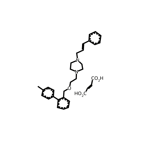 Cc1ccc(-c2ccccc2COCCN2CCN(CC=Cc3ccccc3)CC2)cc1.O=C(O)C=CC(=O)O